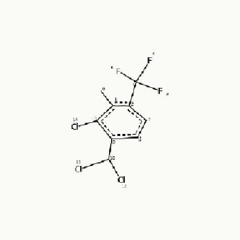 Cc1c(C(F)(F)F)c[c]c(C(Cl)Cl)c1Cl